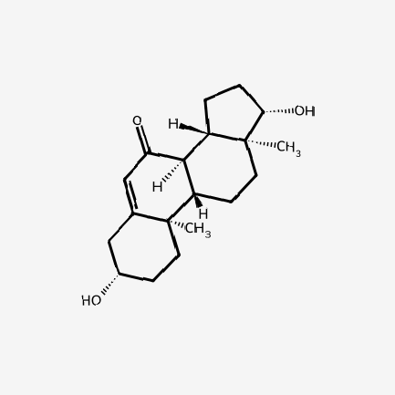 C[C@]12CC[C@H]3[C@@H](C(=O)C=C4C[C@@H](O)CC[C@@]43C)[C@@H]1CC[C@@H]2O